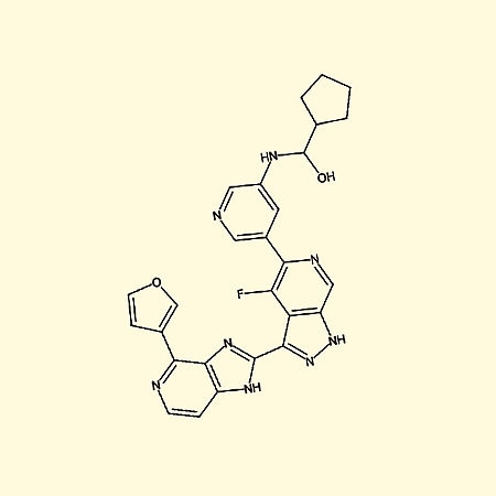 OC(Nc1cncc(-c2ncc3[nH]nc(-c4nc5c(-c6ccoc6)nccc5[nH]4)c3c2F)c1)C1CCCC1